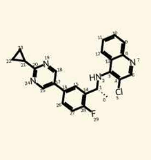 C[C@@H](Nc1c(Cl)cnc2ccccc12)c1cc(-c2cnc(C3CC3)nc2)ccc1F